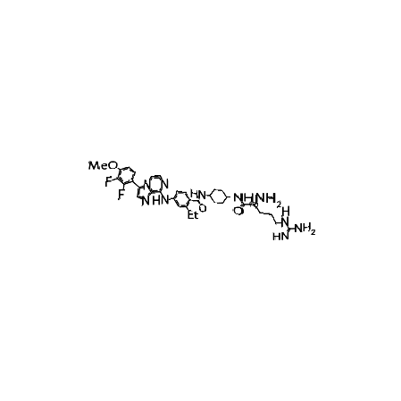 CCc1cc(Nc2nccn3c(-c4ccc(OC)c(F)c4F)cnc23)ccc1C(=O)NC1CCC(NC(=O)[C@@H](N)CCCNC(=N)N)CC1